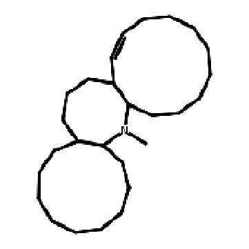 CN1C2CCCCCCCC/C=C\C2CCCC2CCCCCCCCCC21